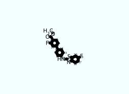 COC(=O)c1ccc(-c2ccc(Nc3nc4ccc(F)cc4s3)cc2)cc1F